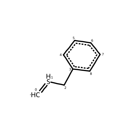 [CH]=[SH]Cc1ccccc1